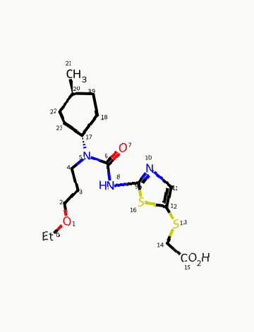 CCOCCCN(C(=O)Nc1ncc(SCC(=O)O)s1)[C@H]1CC[C@H](C)CC1